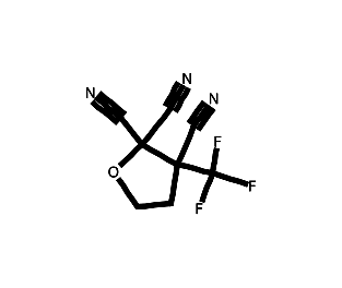 N#CC1(C#N)OCCC1(C#N)C(F)(F)F